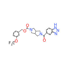 O=C(OCc1cccc(OC(F)(F)F)c1)N1CC2CN(C(=O)c3ccc4[nH]nnc4c3)CC2C1